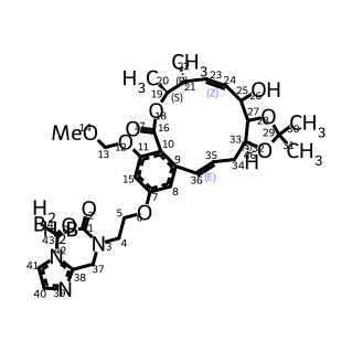 BC(=O)N(CCOc1cc2c(c(OCOC)c1)C(=O)O[C@@H](C)[C@H](C)/C=C\C(O)C1OC(C)(C)O[C@H]1C/C=C/2)Cc1nccn1C(B)=O